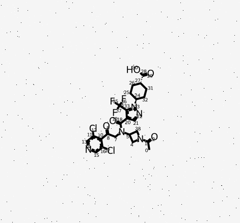 CC(=O)N1CC(N(CC(=O)c2c(Cl)cncc2Cl)C(=O)c2cnn([C@H]3CC[C@H](C(=O)O)CC3)c2C(F)(F)F)C1